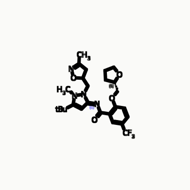 CC1=NOC(Cn2/c(=N/C(=O)c3cc(C(F)(F)F)ccc3OC[C@@H]3CCCO3)cc(C(C)(C)C)n2C)C1